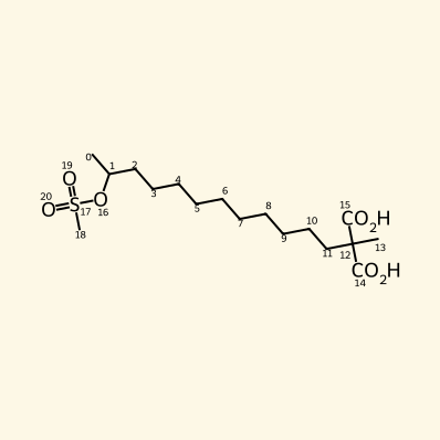 CC(CCCCCCCCCCC(C)(C(=O)O)C(=O)O)OS(C)(=O)=O